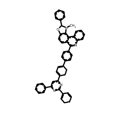 CN1c2c(ccc3c(-c4ccc(C5=CC=C(c6cc(-c7ccccc7)nc(C7=CCCC=C7)n6)CC5)cc4)nc4ccccc4c23)OC1c1ccccc1